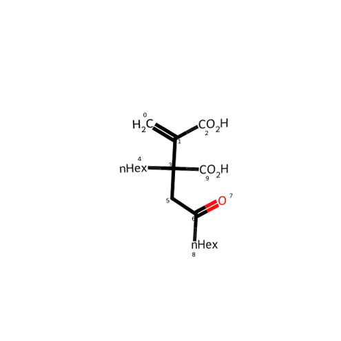 C=C(C(=O)O)C(CCCCCC)(CC(=O)CCCCCC)C(=O)O